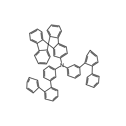 c1ccc(-c2ccccc2-c2cccc(N(c3cccc(-c4ccccc4-c4ccccc4)c3)c3ccc4c(c3)C3(c5ccccc5-c5ccccc53)c3ccccc3-4)c2)cc1